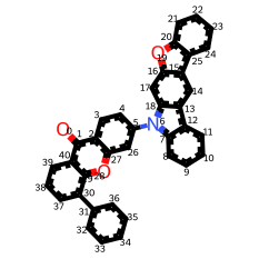 O=c1c2ccc(-n3c4ccccc4c4cc5c(cc43)oc3ccccc35)cc2oc2c(-c3ccccc3)cccc12